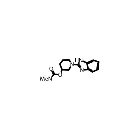 CNC(=O)OC1CCCN(c2nc3ccccc3[nH]2)C1